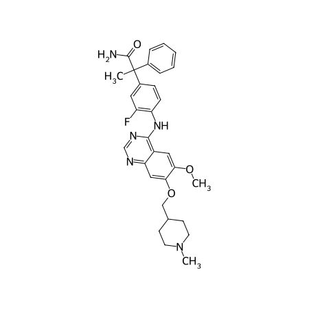 COc1cc2c(Nc3ccc(C(C)(C(N)=O)c4ccccc4)cc3F)ncnc2cc1OCC1CCN(C)CC1